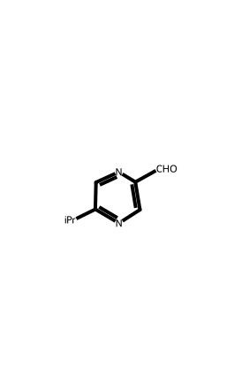 CC(C)c1cnc(C=O)cn1